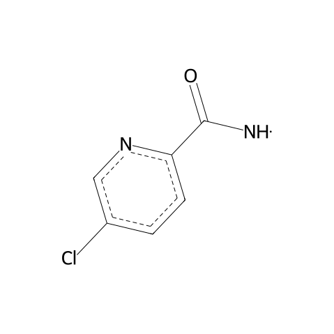 [NH]C(=O)c1ccc(Cl)cn1